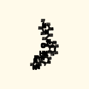 CC(C)n1cnnc1-c1cccc(Nc2cccc3c2C(=O)N(CCN2CCN(C)CC2)C3)n1